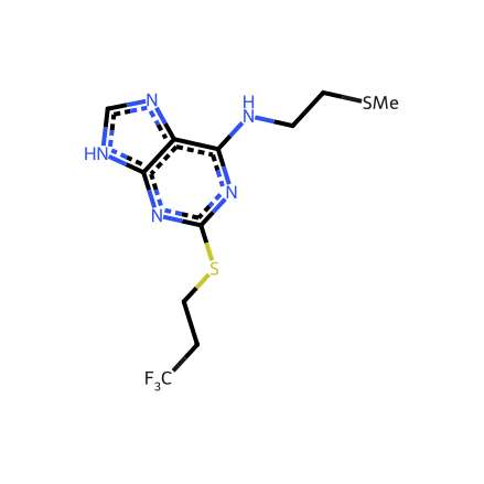 CSCCNc1nc(SCCC(F)(F)F)nc2[nH]cnc12